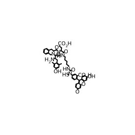 Cc1cc(O)cc(C)c1CC(N)C(=O)N1Cc2ccccc2CC1C(=O)NC(CCC(=O)O)C(=O)NCCCCCNC(=O)N(S)c1ccc(-c2c3ccc(=O)cc-3oc3cc(O)ccc23)c(C(=O)O)c1